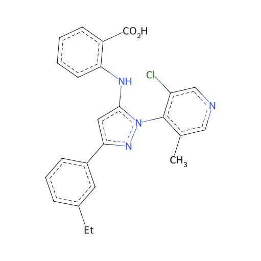 CCc1cccc(-c2cc(Nc3ccccc3C(=O)O)n(-c3c(C)cncc3Cl)n2)c1